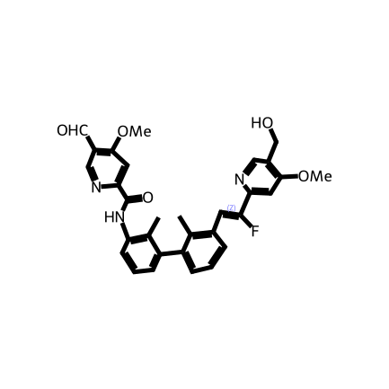 COc1cc(C(=O)Nc2cccc(-c3cccc(/C=C(\F)c4cc(OC)c(CO)cn4)c3C)c2C)ncc1C=O